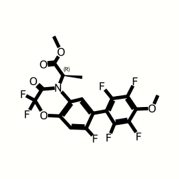 COC(=O)[C@@H](C)N1C(=O)C(F)(F)Oc2cc(F)c(-c3c(F)c(F)c(OC)c(F)c3F)cc21